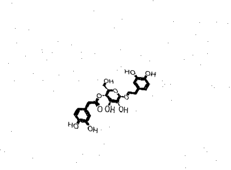 O=C(Cc1ccc(O)c(O)c1)O[C@H]1[C@H](O)[C@@H](O)[C@H](OCCc2ccc(O)c(O)c2)O[C@@H]1CO